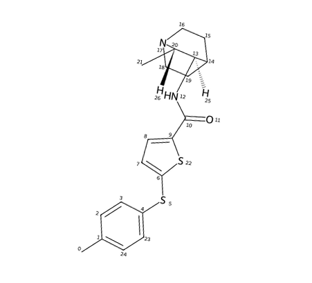 Cc1ccc(Sc2ccc(C(=O)N[C@@H]3C4CCN(CC4)[C@H]3C)s2)cc1